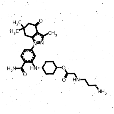 Cc1nn(-c2ccc(C(N)=O)c(N[C@H]3CC[C@H](OC(=O)CNCCCN)CC3)c2)c2c1C(=O)CC(C)(C)C2